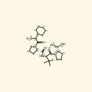 CC(C)(C)C(NC(=O)[C@@H]1CCCN1C(=O)C(N)C1CCCCC1)C(=O)N1CCC[C@H]1B(O)O